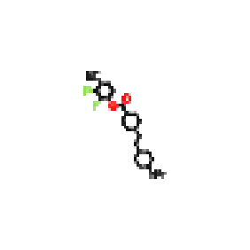 CCCC1CCC(CCC2CCC(C(=O)Oc3ccc(C#N)c(F)c3F)CC2)CC1